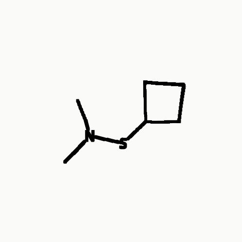 CN(C)SC1CCC1